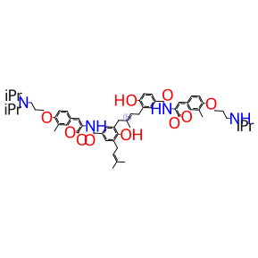 CC(C)=CCc1cc(C(=O)Nc2cc3ccc(OCCCN(C(C)C)C(C)C)c(C)c3oc2=O)cc(C/C(C)=C/Cc2cc(C(=O)Nc3cc4ccc(OCCCNC(C)C)c(C)c4oc3=O)ccc2O)c1O